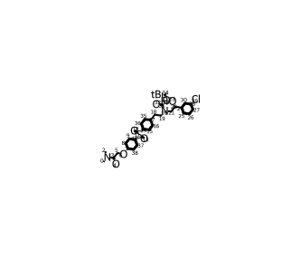 CN(C)C(=O)COc1ccc(S(=O)(=O)c2ccc(CCN(C[C@@H](O)c3cccc(Cl)c3)C(=O)OC(C)(C)C)cc2)cc1